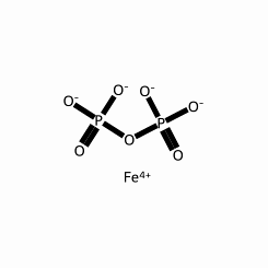 O=P([O-])([O-])OP(=O)([O-])[O-].[Fe+4]